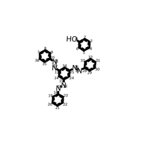 Oc1ccccc1.c1ccc(N=Nc2cc(N=Nc3ccccc3)cc(N=Nc3ccccc3)c2)cc1